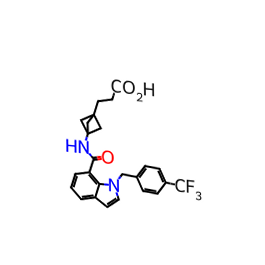 O=C(O)CCC12CC(NC(=O)c3cccc4ccn(Cc5ccc(C(F)(F)F)cc5)c34)(C1)C2